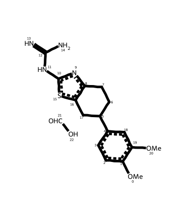 COc1ccc(C2CCc3nc(NC(=N)N)sc3C2)cc1OC.O=CO